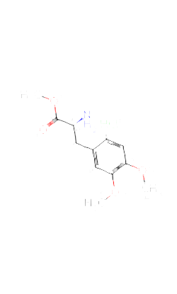 COC(=O)[C@@H](N)Cc1ccc(OC)c(OC)c1.Cl